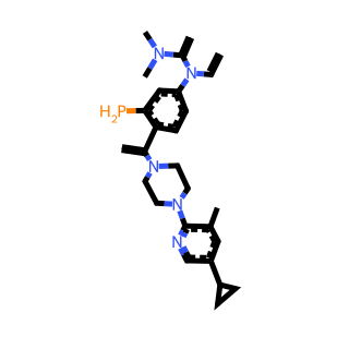 C=CN(C(=C)N(C)C)c1ccc(C(=C)N2CCN(c3ncc(C4CC4)cc3C)CC2)c(P)c1